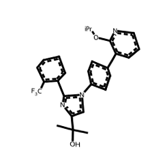 CC(C)Oc1ncccc1-c1ccc(-n2cc(C(C)(C)O)nc2-c2ccccc2C(F)(F)F)cc1